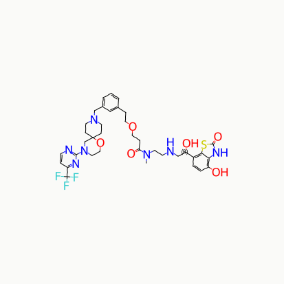 CN(CCNC[C@H](O)c1ccc(O)c2[nH]c(=O)sc12)C(=O)CCOCCc1cccc(CN2CCC3(CC2)CN(c2nccc(C(F)(F)F)n2)CCO3)c1